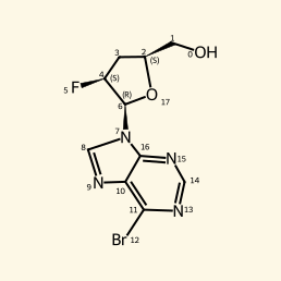 OC[C@@H]1C[C@H](F)[C@H](n2cnc3c(Br)ncnc32)O1